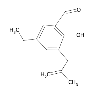 C=C(C)Cc1cc(CC)cc(C=O)c1O